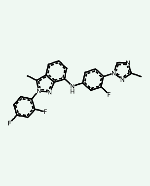 Cc1ncn(-c2ccc(Nc3cccc4c(C)n(-c5ccc(F)cc5F)nc34)cc2F)n1